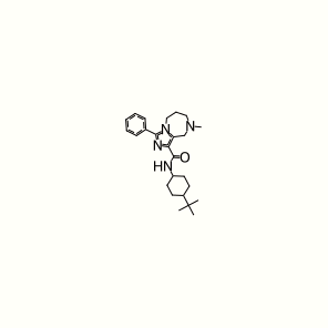 CN1CCCn2c(-c3ccccc3)nc(C(=O)NC3CCC(C(C)(C)C)CC3)c2C1